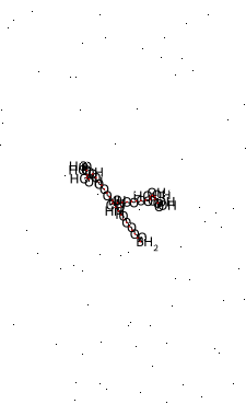 BC(=O)CCOCCOCCOCCOCCNC(=O)CC(C(=O)NCCOCCOCCOCCOC1OC(COP(=O)(O)O)C(O)C(O)C1O)C(=O)NCCOCCOCCOCCOC1OC2(O)C(COP(=O)(O)O)C(O)C(O)C12